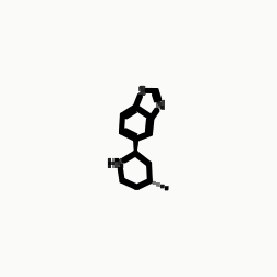 C[C@@H]1CCN[C@@H](c2ccc3scnc3c2)C1